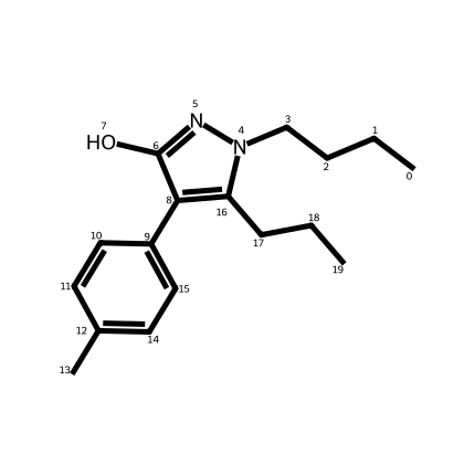 CCCCn1nc(O)c(-c2ccc(C)cc2)c1CCC